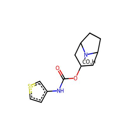 O=C(Nc1ccsc1)OC1CC2CCC(C1)N2C(=O)O